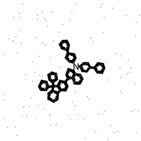 C1=CC(c2ccccc2)CC=C1N(c1ccc(-c2ccccc2)cc1)c1ccc(-c2ccc3c(c2)C(c2ccccc2)(c2ccccc2)c2ccccc2-3)c2ccccc12